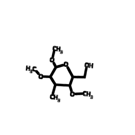 COC1OC(CO)C(OC)C(C)C1OC